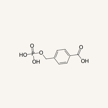 O=C(O)c1ccc(COP(=O)(O)O)cc1